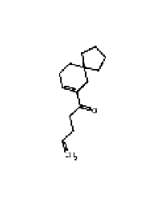 C=CCCC(=O)C1=CCCC2(CCCC2)C1